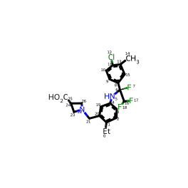 CCc1ccc(N[C@](F)(c2ccc(Cl)c(C)c2)C(F)F)cc1CN1CC(C(=O)O)C1